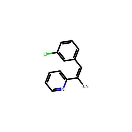 N#CC(=Cc1cccc(Cl)c1)c1ccccn1